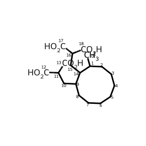 CC1CCCCCCCC(CC(C(=O)O)C(=O)O)C1CC(C(=O)O)C(=O)O